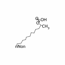 CCCCCCCCCCCCCCCCCCCC(C)OS(=O)O